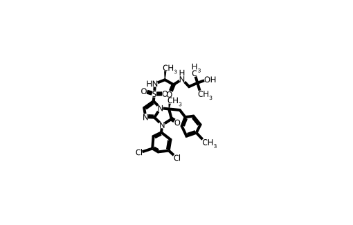 Cc1ccc(C[C@]2(C)C(=O)N(c3cc(Cl)cc(Cl)c3)c3ncc(S(=O)(=O)N[C@@H](C)C(=O)NCC(C)(C)O)n32)cc1